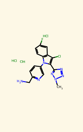 Cl.Cl.Cl.Cn1nnc(-c2c(Cl)c3cc(F)ccc3n2-c2ccc(CN)nc2)n1